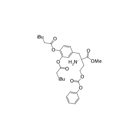 CCC(C)CC(=O)Oc1ccc(C[C@](N)(CCOC(=O)Oc2ccccc2)C(=O)OC)cc1OC(=O)CC(C)CC